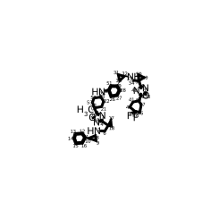 CC1(c2nc(C3(CN[C@@H]4C[C@H]4c4ccccc4)CC3)no2)CCC(Nc2cccc([C@@H]3C[C@H]3NCC3(c4noc(C5CCC(F)(F)CC5)n4)CC3)c2)CC1